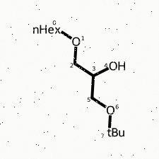 CCCCCCOCC(O)COC(C)(C)C